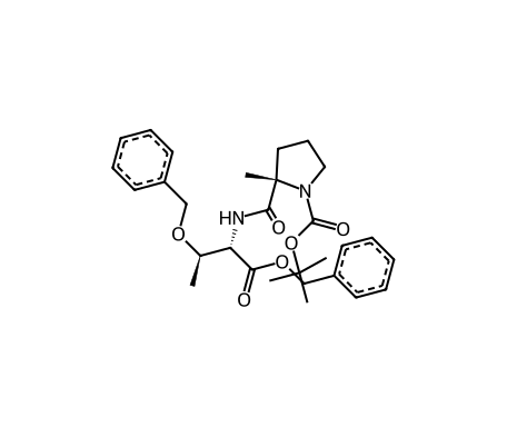 C[C@@H](OCc1ccccc1)[C@H](NC(=O)[C@]1(C)CCCN1C(=O)OC(C)(C)C)C(=O)OCc1ccccc1